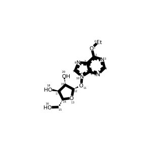 CCOc1ncnc2c1ncn2O[C@@H]1O[C@H](CO)[C@@H](O)[C@@H]1O